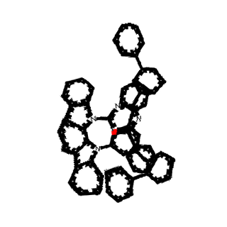 c1ccc(-c2cccc(-c3nc(-c4ccccc4)nc(-n4c5ccccc5c5ccc6c7ccccc7n(-c7cc(-c8ccccc8)cc(-c8ccccc8-c8ccccc8)c7)c6c54)n3)c2)cc1